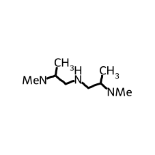 CNC(C)CNCC(C)NC